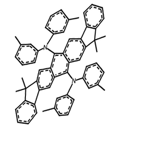 Cc1cccc(N(c2cccc(C)c2)c2c3cc4c(cc3c(N(c3cccc(C)c3)c3cccc(C)c3)c3cc5c(cc23)C(C)(C)c2ccccc2-5)C(C)(C)c2ccccc2-4)c1